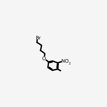 Cc1ccc(OCCCCBr)cc1[N+](=O)[O-]